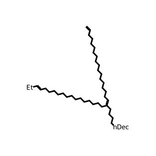 C=CCCCCCCCCCCCCCCCC=C(CCCCCCCCCCCCCC)CCCCCCCCCCCCCCC=CCC